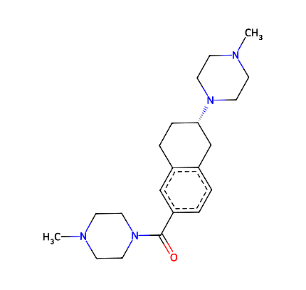 CN1CCN(C(=O)c2ccc3c(c2)CC[C@H](N2CCN(C)CC2)C3)CC1